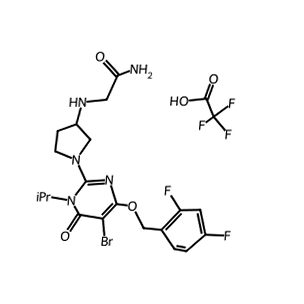 CC(C)n1c(N2CCC(NCC(N)=O)C2)nc(OCc2ccc(F)cc2F)c(Br)c1=O.O=C(O)C(F)(F)F